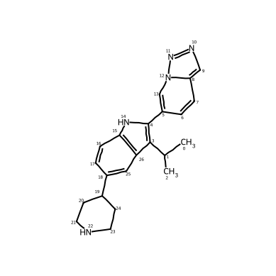 CC(C)c1c(-c2ccc3cnnn3c2)[nH]c2ccc(C3CCNCC3)cc12